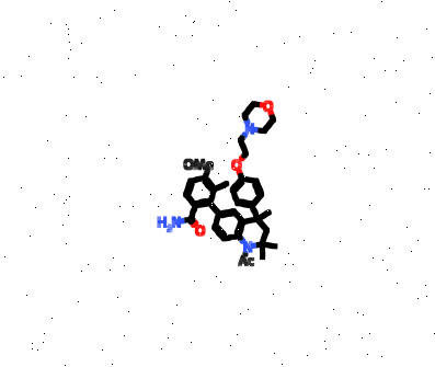 COc1ccc(C(N)=O)c(-c2ccc3c(c2)C(C)(c2ccc(OCCN4CCOCC4)cc2)CC(C)(C)N3C(C)=O)c1C